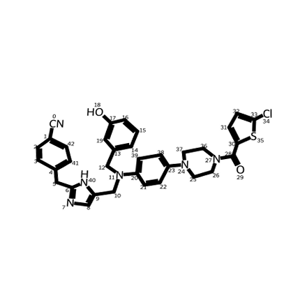 N#Cc1ccc(Cc2ncc(CN(Cc3cccc(O)c3)c3ccc(N4CCN(C(=O)c5ccc(Cl)s5)CC4)cc3)[nH]2)cc1